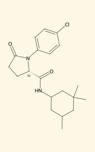 CC1CC(NC(=O)[C@@H]2CCC(=O)N2c2ccc(Cl)cc2)CC(C)(C)C1